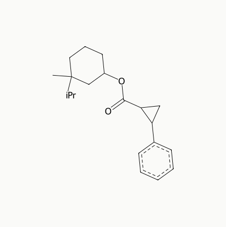 CC(C)C1(C)CCCC(OC(=O)C2CC2c2ccccc2)C1